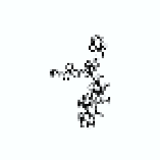 CCOC1NC(C)=Nc2c1ncn2[C@@H]1O[C@](F)(COP(=O)(OCOC(=O)OC(C)C)OCOC(=O)OC(C)C)[C@@H](F)[C@@]1(C)O